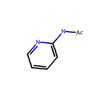 CC(=O)[N]c1ccccn1